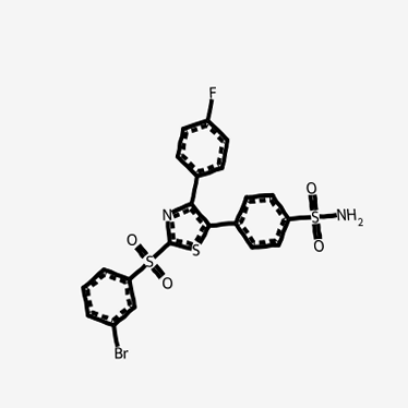 NS(=O)(=O)c1ccc(-c2sc(S(=O)(=O)c3cccc(Br)c3)nc2-c2ccc(F)cc2)cc1